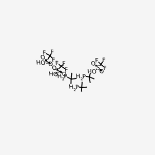 CC(C)(C)P.CC(C)(C)P.CC(C)(C)P.O=S(=O)(O)C(F)(F)F.O=S(=O)(O)C(F)(F)F.O=S(=O)(O)C(F)(F)F